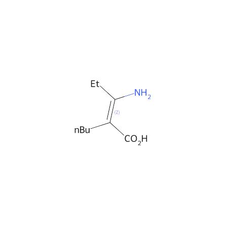 CCCC/C(C(=O)O)=C(/N)CC